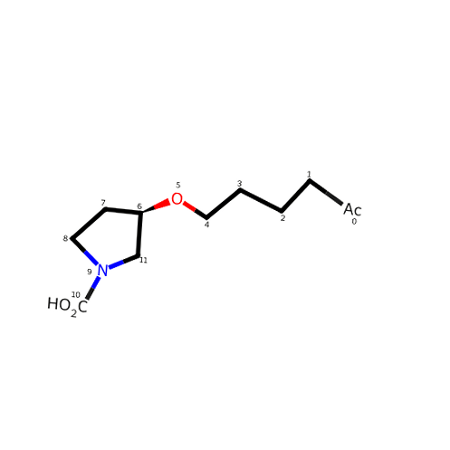 CC(=O)CCCCO[C@@H]1CCN(C(=O)O)C1